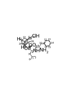 CC(C)C[C@H](NC(=O)[C@@H](N)Cc1ccccc1)B1O[C@@H]2C[C@@H]3C[C@@H](C3(C)C)[C@]2(C)O1.Cl